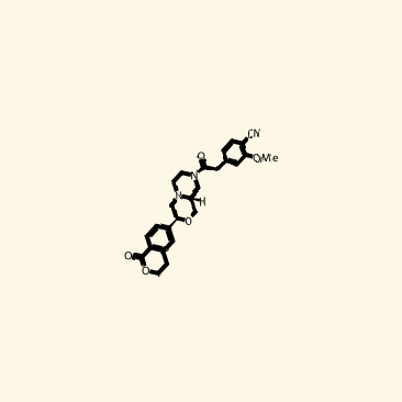 COc1cc(CC(=O)N2CCN3C[C@H](c4ccc5c(c4)CCOC5=O)OC[C@H]3C2)ccc1C#N